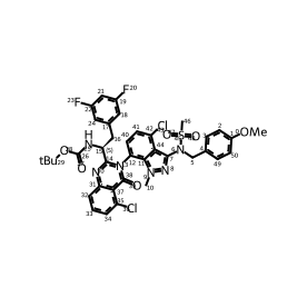 COc1ccc(CN(c2nn(C)c3c(-n4c([C@H](Cc5cc(F)cc(F)c5)NC(=O)OC(C)(C)C)nc5cccc(Cl)c5c4=O)ccc(Cl)c23)S(C)(=O)=O)cc1